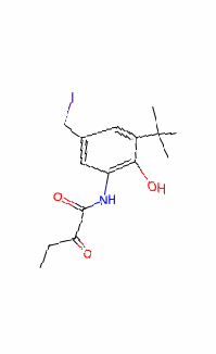 CCC(=O)C(=O)Nc1cc(CI)cc(C(C)(C)C)c1O